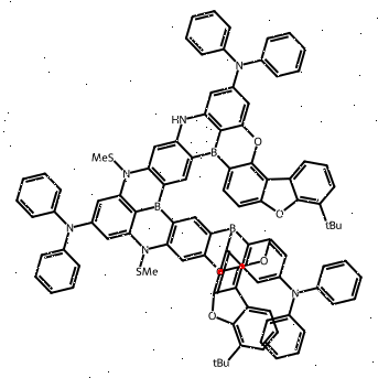 CSN1c2cc3c(cc2B2c4cc5c(cc4N(SC)c4cc(N(c6ccccc6)c6ccccc6)cc1c42)Oc1cc(N(c2ccccc2)c2ccccc2)cc2c1B5c1ccc4oc5c(C(C)(C)C)cccc5c4c1O2)B1c2ccc4oc5c(C(C)(C)C)cccc5c4c2Oc2cc(N(c4ccccc4)c4ccccc4)cc(c21)N3